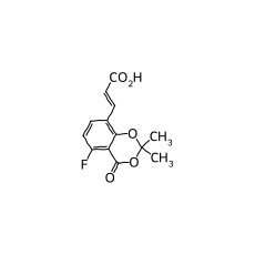 CC1(C)OC(=O)c2c(F)ccc(/C=C/C(=O)O)c2O1